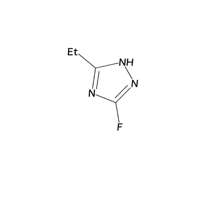 CCc1nc(F)n[nH]1